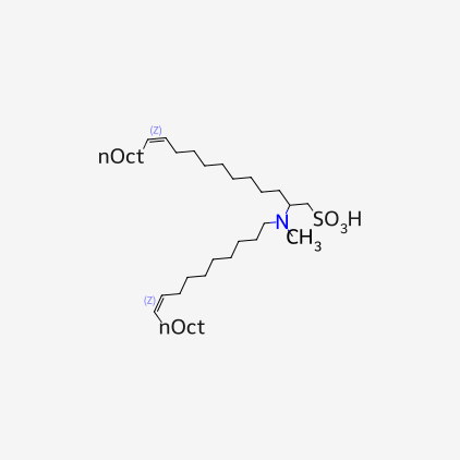 CCCCCCCC/C=C\CCCCCCCCC(CS(=O)(=O)O)N(C)CCCCCCCC/C=C\CCCCCCCC